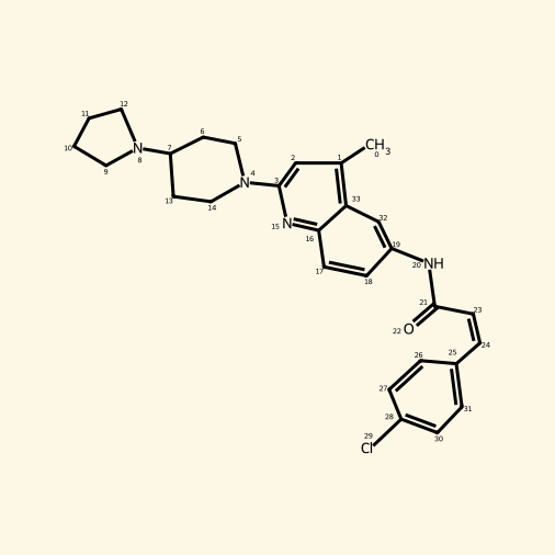 Cc1cc(N2CCC(N3CCCC3)CC2)nc2ccc(NC(=O)/C=C\c3ccc(Cl)cc3)cc12